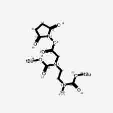 CCN(CCN(CC(=O)ON1C(=O)CCC1=O)C(=O)OC(C)(C)C)C(=O)OC(C)(C)C